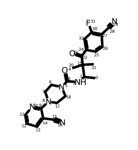 CC(NC(=O)N1CCN(c2ncccc2C#N)CC1)C(C)(C)C(=O)c1ccc(C#N)c(F)c1